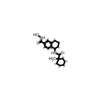 CC1(C(=O)NC2CCCc3cc(C(=O)NO)ccc32)CCCCC1